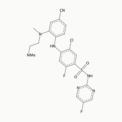 CNCCN(C)c1cc(C#N)ccc1Nc1cc(F)c(S(=O)(=O)Nc2ncc(F)cn2)cc1Cl